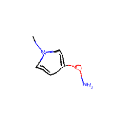 Cn1ccc(ON)c1